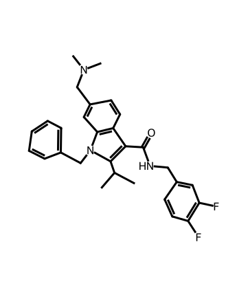 CC(C)c1c(C(=O)NCc2ccc(F)c(F)c2)c2ccc(CN(C)C)cc2n1Cc1ccccc1